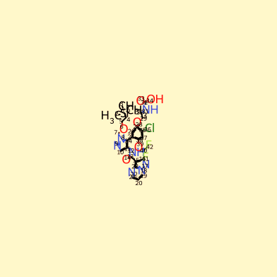 C[Si](C)(C)CCOCn1ncc(NC(=O)c2cnn3cccnc23)c1-c1cc(OCCNC(=O)O)c(Cl)cc1OC(F)F